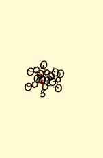 COc1ccc(C(C)=O)c(OP(OCc2cc(SC)cc(C)c2OP(Oc2cc(OC)ccc2C(C)=O)Oc2cc(OC)ccc2C(C)=O)Oc2cc(OC)ccc2C(C)=O)c1